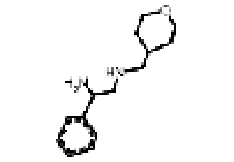 NC(CNCC1CCOCC1)c1ccccc1